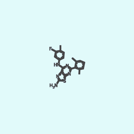 Cc1ccc(Nc2nc(-c3c(C)cccc3C)nc3sc(N)nc23)cc1F